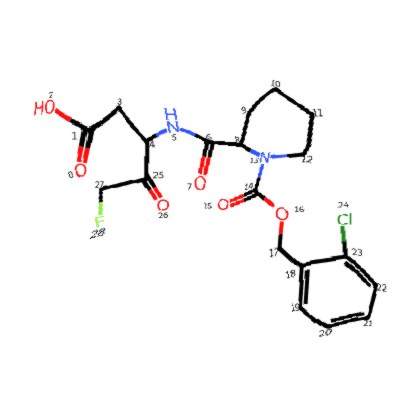 O=C(O)CC(NC(=O)C1CCCCN1C(=O)OCc1ccccc1Cl)C(=O)CF